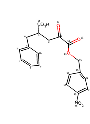 O=C(CC(Cc1ccccc1)C(=O)O)C(=O)OCc1ccc([N+](=O)[O-])cc1